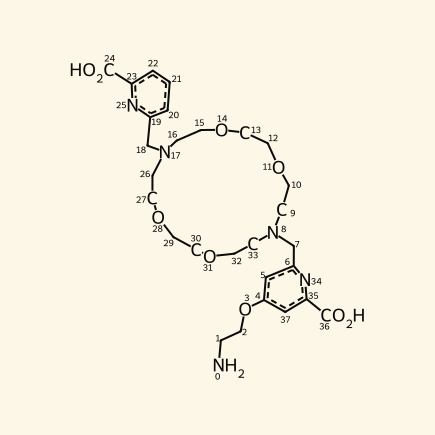 NCCOc1cc(CN2CCOCCOCCN(Cc3cccc(C(=O)O)n3)CCOCCOCC2)nc(C(=O)O)c1